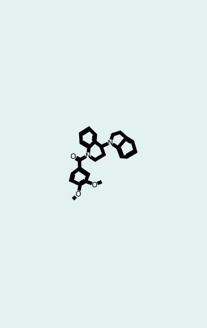 COc1ccc(C(=O)N2CCC(N3CCc4ccccc43)c3ccccc32)cc1OC